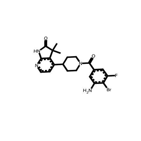 CC1(C)C(=O)Nc2nccc(C3CCN(C(=O)c4cc(N)c(Br)c(F)c4)CC3)c21